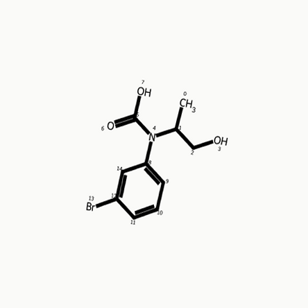 CC(CO)N(C(=O)O)c1cccc(Br)c1